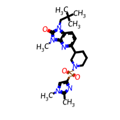 Cc1nc(S(=O)(=O)N2CCCC(c3ccc4c(n3)n(C)c(=O)n4CC(C)(C)C)C2)cn1C